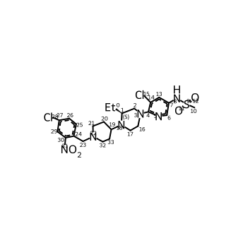 CC[C@H]1CN(c2ncc(NS(C)(=O)=O)cc2Cl)CCN1C1CCN(Cc2ccc(Cl)cc2[N+](=O)[O-])CC1